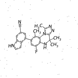 Cc1c(-c2cc(C#N)cc3[nH]ccc23)cc(F)c2c1-n1c(C)nnc1C(C)(C)N2